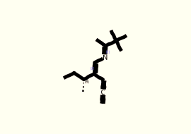 C=C=C/C(=C\N=C(/C)C(C)(C)C)[C@H](C)CC